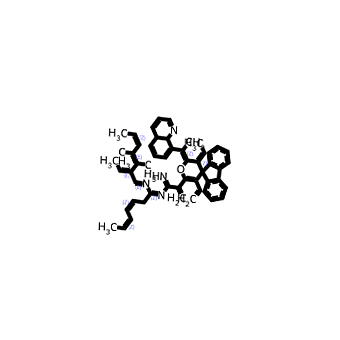 C=CC1=C(C(=C)C(=N)\N=C(C/C=C\C=C/C)/N=C/C(=C/C)C(/C)=C(C)/C=C\C)OC(=C(/C)C2=CC=CC3C=CC=NC23)/C(=C\C)C12c1ccccc1-c1ccccc12